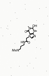 CNCCCNC(=O)Cn1cnc2c1C(=O)N(C)C(O)N2C